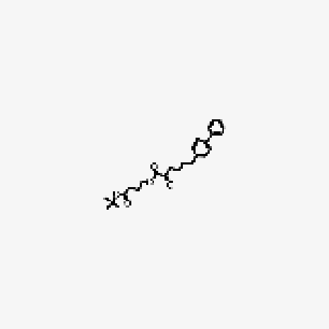 CC(C)(C)OC(=O)CCCOC(=O)C(=O)CCCCc1ccc(-c2ccccc2)cc1